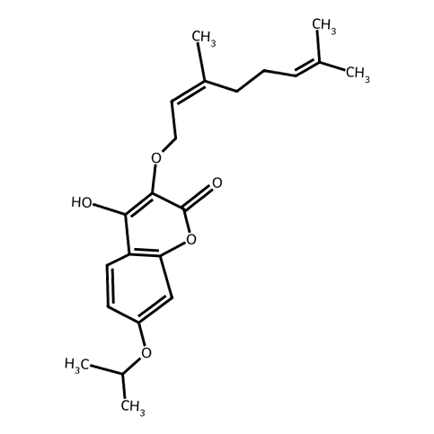 CC(C)=CCCC(C)=CCOc1c(O)c2ccc(OC(C)C)cc2oc1=O